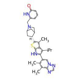 Cc1c(-c2[nH]c3sc([C@@H]4CC5CC4CN5Cc4cccc(=O)[nH]4)c(C)c3c2C(C)C)cn2ncnc2c1C